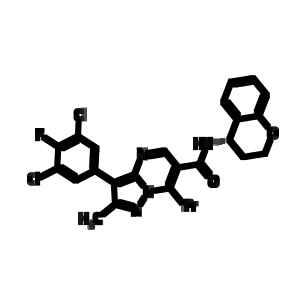 Cc1nn2c(C(C)C)c(C(=O)N[C@H]3CCOc4ccccc43)cnc2c1-c1cc(Cl)c(F)c(Cl)c1